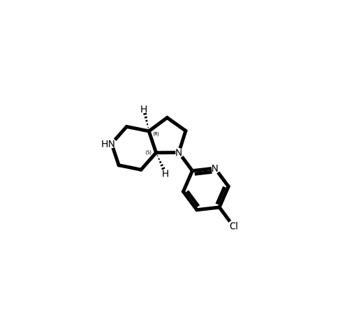 Clc1ccc(N2CC[C@@H]3CNCC[C@@H]32)nc1